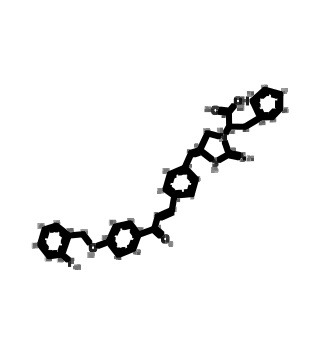 O=C(/C=C/c1ccc(C=C2CN(C(Cc3ccccc3)C(=O)O)C(=S)S2)cc1)c1ccc(OCc2ccccc2F)cc1